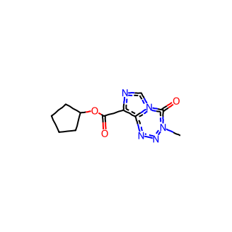 Cn1nnc2c(C(=O)OC3CCCC3)ncn2c1=O